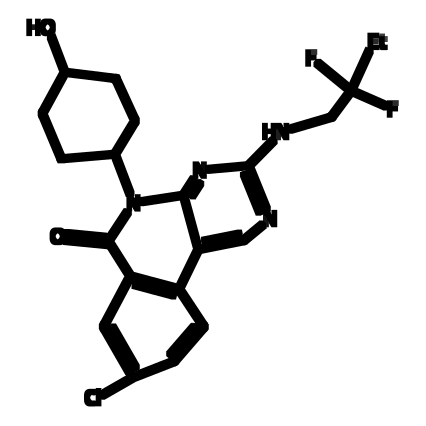 CCC(F)(F)CNc1ncc2c3ccc(Cl)cc3c(=O)n(C3CCC(O)CC3)c2n1